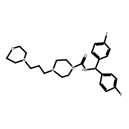 O=C(NC(c1ccc(F)cc1)c1ccc(F)cc1)N1CCN(CCCN2CCOCC2)CC1